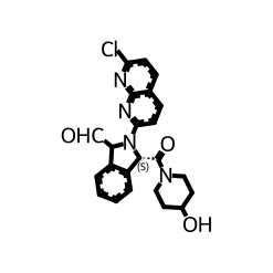 O=CC1c2ccccc2[C@@H](C(=O)N2CCC(O)CC2)N1c1ccc2ccc(Cl)nc2n1